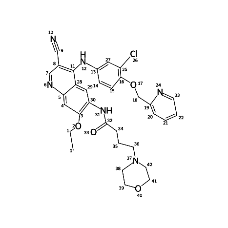 CCOc1cc2ncc(C#N)c(Nc3ccc(OCc4ccccn4)c(Cl)c3)c2cc1NC(=O)CCCN1CCOCC1